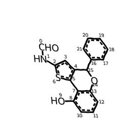 O=CNc1cc2c(s1)-c1c(O)cccc1OC2c1ccccc1